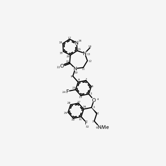 CNCC[C@H](Oc1ccc(CN2CCN(C)c3ncccc3C2=O)c(F)c1)c1ccccc1F